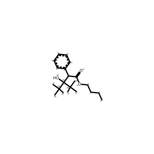 CCCCOC(=O)C(c1ccccc1)C(O)(C(C)(C)C)C(C)(C)C